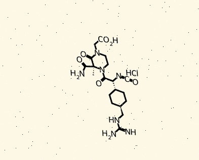 C[C@]1(C(N)=O)C(=O)N(CC(=O)O)CCN1C(=O)C(N=C=O)[C@H]1CC[C@H](CNC(=N)N)CC1.Cl